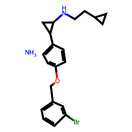 Brc1cccc(COc2ccc(C3CC3NCCC3CC3)cc2)c1.N